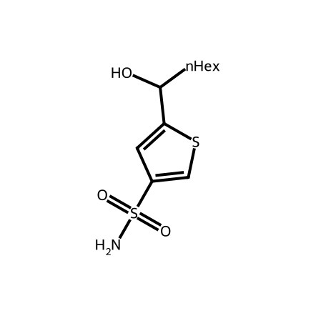 CCCCCCC(O)c1cc(S(N)(=O)=O)cs1